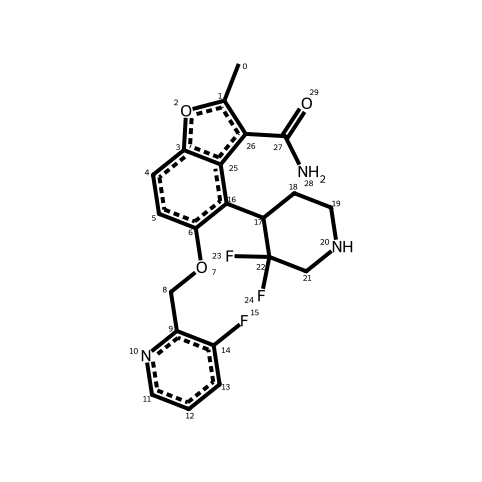 Cc1oc2ccc(OCc3ncccc3F)c(C3CCNCC3(F)F)c2c1C(N)=O